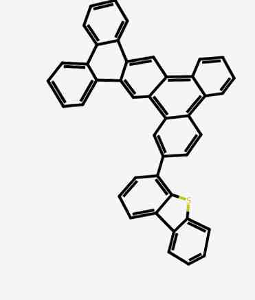 c1ccc2c(c1)sc1c(-c3ccc4c5ccccc5c5cc6c7ccccc7c7ccccc7c6cc5c4c3)cccc12